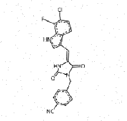 N#Cc1ccc(CN2C(=O)NC(=Cc3c[nH]c4c(F)c(Cl)ccc34)C2=O)cc1